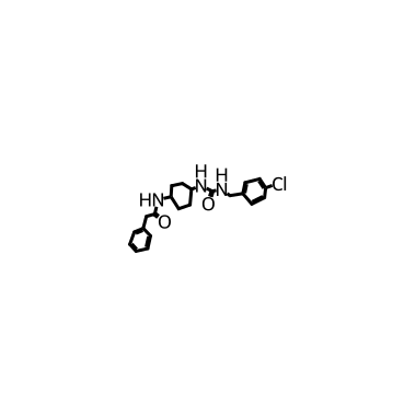 O=C(Cc1ccccc1)NC1CCC(NC(=O)NCc2ccc(Cl)cc2)CC1